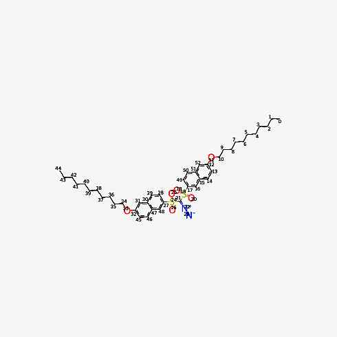 CCCCCCCCCCCOc1ccc2cc(S(=O)(=O)C(=[N+]=[N-])S(=O)(=O)c3ccc4cc(OCCCCCCCCCCC)ccc4c3)ccc2c1